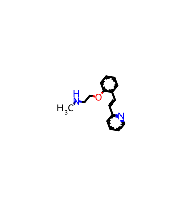 CNCCOc1ccccc1C=Cc1ccccn1